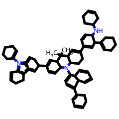 CC1(C)C2C=C(C3C=c4c5c(n(C6=CCCCC6)c4=CC3)C=CCC5)C=CC2N(C2=CC=C(C3=CC=CCC3)C3C=CC=CC23)C2CCC(C3=CC(C4=CCCCC4)C(NC4CC=CCC4)C=C3)=CC21